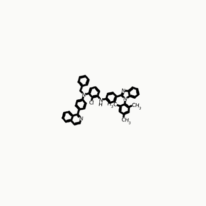 Cc1cc(C)c(-n2c(-c3ccc(Nc4cccc(N(Cc5ccccc5)c5ccc(-c6nccc7ccccc67)cc5)c4Cl)cc3)nc3ccccc32)c(C)c1